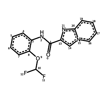 O=C(Nc1ccccc1OC(F)F)c1cn2ccccc2n1